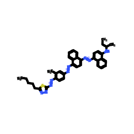 CCCCCc1nnc(/N=N/c2ccc(/N=N/c3ccc(/N=N/c4ccc(NC(C)CC)c5ccccc45)c4ccccc34)cc2C)s1